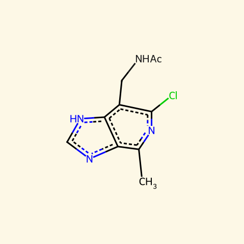 CC(=O)NCc1c(Cl)nc(C)c2nc[nH]c12